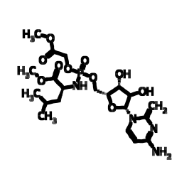 C=C1N=C(N)C=CN1[C@@H]1O[C@H](COP(=O)(N[C@@H](CC(C)C)C(=O)OC)OCC(=O)OC)[C@H](O)C1O